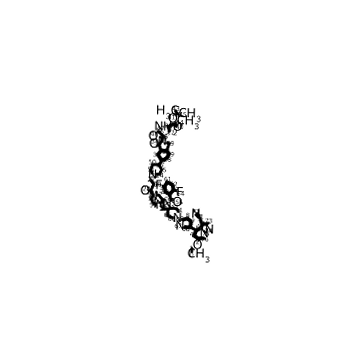 CCOc1cc(-c2ccc(N3CCC(CN4CCN(C(=O)CCN5CCC(c6ccc7c(c6)C(=O)N([C@@H](CCC(=O)OC(C)(C)C)C(N)=O)C7)CC5)CC4)(NC(=O)c4cc(F)ccc4F)CC3)nc2)c2c(C#N)cnn2c1